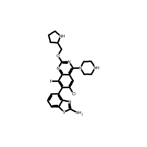 Nc1nc2c(-c3c(Cl)cc4c(N5CCNCC5)nc(OCC5CCCN5)nc4c3F)cccc2s1